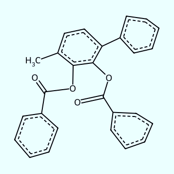 Cc1ccc(-c2ccccc2)c(OC(=O)c2ccccc2)c1OC(=O)c1ccccc1